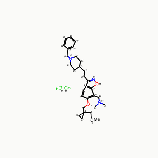 COCC1(COc2ccc3c(CCC4CCN(Cc5ccccc5)CC4)noc3c2CN(C)C)CC1.Cl.Cl